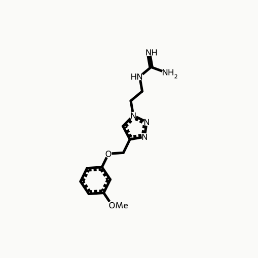 COc1cccc(OCc2cn(CCNC(=N)N)nn2)c1